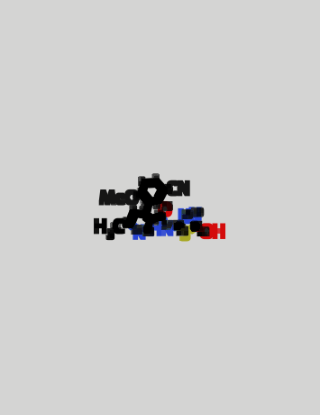 COc1ccc(C#N)cc1-c1cc(C)ncc1C(=O)Nc1nnc(O)s1